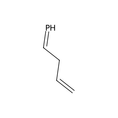 C=CCC=P